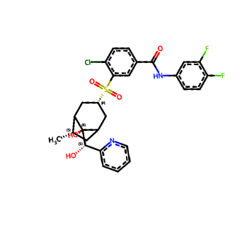 C[C@H]1CC2C[C@@H](S(=O)(=O)c3cc(C(=O)Nc4ccc(F)c(F)c4)ccc3Cl)CC1[C@@]2(O)[C@@H](O)c1ccccn1